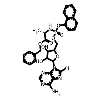 C[C@H](NP(=O)(OCC1OC(n2c(Cl)nc3c(N)ncnc32)C(O)C1O)Oc1cccc2ccccc12)C(=O)OCc1ccccc1